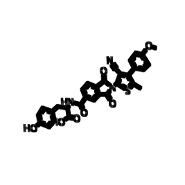 COc1ccc(-c2c(C)sc(N3C(=O)c4ccc(C(=O)NC(Cc5ccc(O)cc5)C(=O)O)cc4C3=O)c2C#N)cc1